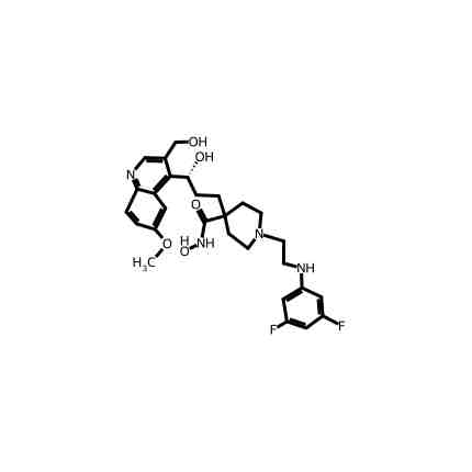 COc1ccc2ncc(CO)c([C@H](O)CCC3(C(=O)NO)CCN(CCNc4cc(F)cc(F)c4)CC3)c2c1